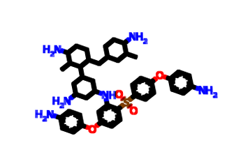 CC1CC(CC2CCC(N)C(C)C2C2CC(N)CC(Nc3cc(Oc4ccc(N)cc4)ccc3S(=O)(=O)c3ccc(Oc4ccc(N)cc4)cc3)C2)CCC1N